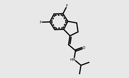 CC(C)NC(=O)C=C1CCc2c(F)cc(F)cc21